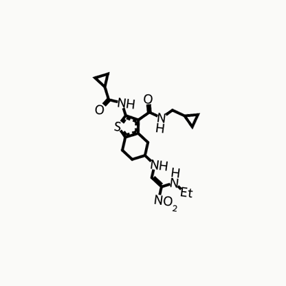 CCNC(=CNC1CCc2sc(NC(=O)C3CC3)c(C(=O)NCC3CC3)c2C1)[N+](=O)[O-]